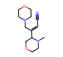 CN1CCOCC1C(=CC#N)CN1CCOCC1